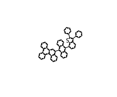 c1ccc(-c2sc3c(-c4c5ccccc5c(-c5cc6c7ccccc7c7ccccc7c6c6ccccc56)c5ccccc45)cccc3c2-c2ccccc2)cc1